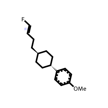 COc1ccc([C@H]2CC[C@H](CC/C=C/F)CC2)cc1